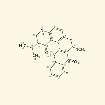 CC(Cc1ccc2c(c1)C(=O)N(C(C)C)CN2)c1c[nH]c2ccccc2c1=O